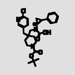 CC(C)(C)OC(=O)N1CCC(Cc2ccc(Cl)nc2)(CN(C(=O)O)[C@@H]2CC2c2ccccc2)CC1